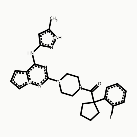 Cc1cc(Nc2nc(N3CCN(C(=O)C4(c5ccccc5F)CCCC4)CC3)nn3cccc23)n[nH]1